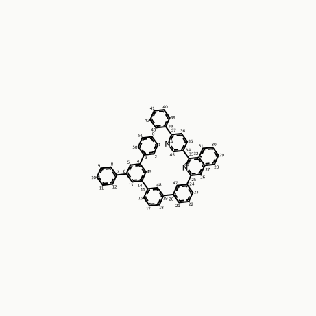 c1ccc(-c2cc(-c3ccccc3)cc(-c3cccc(-c4cccc(-c5cc6ccccc6c(-c6ccc(-c7ccccc7)nc6)n5)c4)c3)c2)cc1